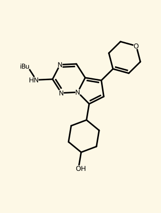 CCC(C)Nc1ncc2c(C3=CCOCC3)cc(C3CCC(O)CC3)n2n1